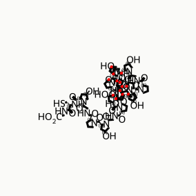 O=C(O)CNC(=O)[C@H](CS)NC(=O)[C@@H]1C[C@@H](O)CN1C(=O)CNC(=O)[C@@H]1CCCN1C(=O)[C@@H]1C[C@@H](O)CN1C(=O)CNC(=O)[C@@H]1CCCN1C(=O)[C@@H]1C[C@@H](O)CN1C(=O)CNC(=O)[C@@H]1CCCN1C(=O)[C@@H]1C[C@@H](O)CN1C(=O)CNC(=O)[C@@H]1CCCN1C(=O)[C@@H]1C[C@@H](O)CN1C(=O)CNC(=O)[C@@H]1CCCN1C(=O)[C@@H]1C[C@@H](O)CN1C(=O)CNC(=O)[C@@H]1CCCN1C(=O)[C@@H]1C[C@@H](O)CN1